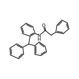 O=C(Cc1ccccc1)Nc1ccc[c]c1C(c1ccccc1)c1ccccc1